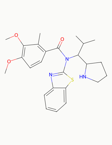 COc1ccc(C(=O)N(c2nc3ccccc3s2)C(C(C)C)C2CCCN2)c(C)c1OC